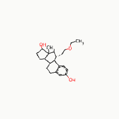 CCOCC[C@H]1CC2(C)C(O)CCC2C2CCc3cc(O)ccc3C21